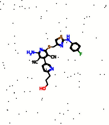 N#Cc1c(N)nc(SCc2csc(Nc3ccc(F)cc3)n2)c(C#N)c1-c1ccc(CCCO)nc1